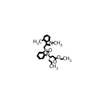 CCC[C@@H](CC(=O)OCC)n1c(=O)n(Cc2cn(C)c3cccc(C)c23)c2ccccc21